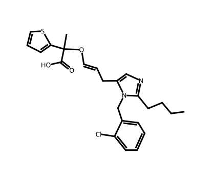 CCCCc1ncc(CC=COC(C)(C(=O)O)c2cccs2)n1Cc1ccccc1Cl